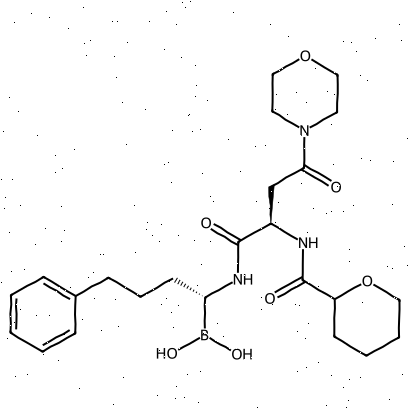 O=C(N[C@H](CC(=O)N1CCOCC1)C(=O)N[C@@H](CCCc1ccccc1)B(O)O)C1CCCCO1